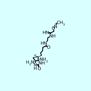 C/C=N/OCC(=N)NCCNC(=O)CCCC[C@@H]1SC[C@]2(N)NC(=O)N[C@]12N